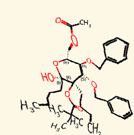 CCCC[C@@]1(O)O[C@H](COC(C)=O)[C@@H](OCc2ccccc2)[C@H](OCc2ccccc2)[C@@]1(CCCC)OC(=O)C(C)(C)C